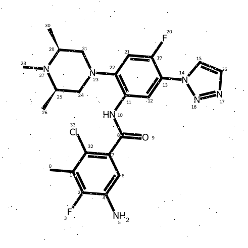 Cc1c(F)c(N)cc(C(=O)Nc2cc(-n3ccnn3)c(F)cc2N2C[C@@H](C)N(C)[C@@H](C)C2)c1Cl